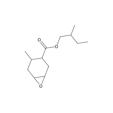 CCC(C)COC(=O)C1CC2OC2CC1C